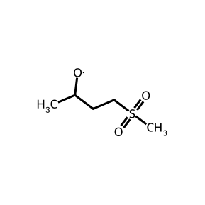 CC([O])CCS(C)(=O)=O